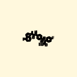 CC(C(=O)Nc1ccc(S(=O)(=O)N(C(=O)O)c2ccc(F)cc2)cc1)n1ccc2c(F)cccc21